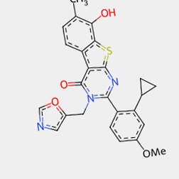 COc1ccc(-c2nc3sc4c(O)c(C)ccc4c3c(=O)n2Cc2cnco2)c(C2CC2)c1